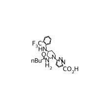 CCCCC(N)=O.O=C(O)c1ccc(N2CCC(Nc3ccccc3C(F)(F)F)CC2)nn1